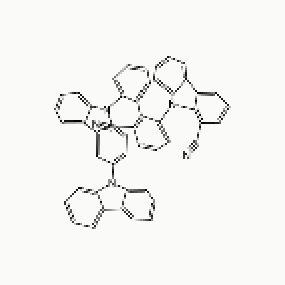 N#Cc1cccc(-n2c3ccccc3c3cccc(C#N)c32)c1-c1ccccc1-n1c2ccccc2c2cc(-n3c4ccccc4c4ccccc43)ccc21